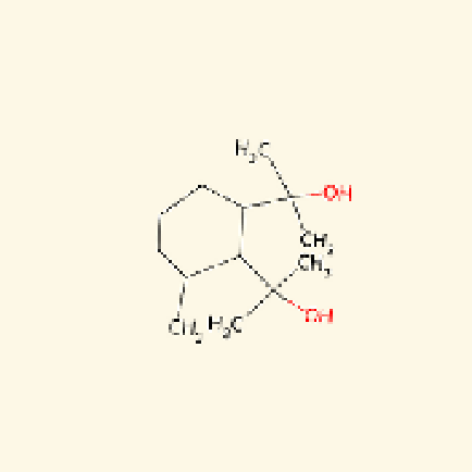 CC1CCCC(C(C)(C)O)C1C(C)(C)O